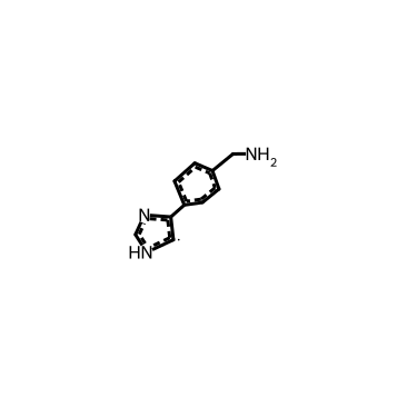 NCc1ccc(-c2[c][nH]cn2)cc1